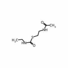 CCNC(=O)SCCNC(C)=O